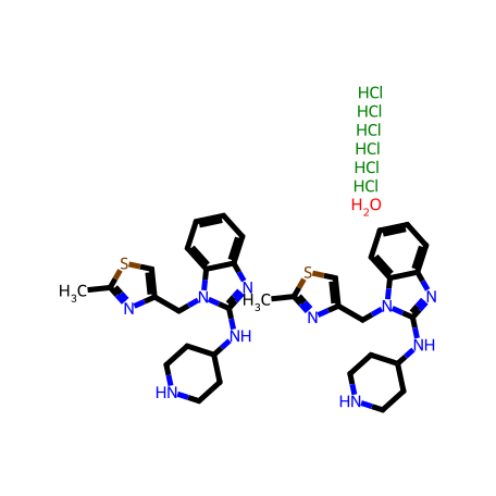 Cc1nc(Cn2c(NC3CCNCC3)nc3ccccc32)cs1.Cc1nc(Cn2c(NC3CCNCC3)nc3ccccc32)cs1.Cl.Cl.Cl.Cl.Cl.Cl.O